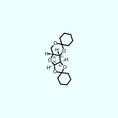 C1CCC2(CC1)OC[C@H]1O[C@@H]3OC4(CCCCC4)O[C@@H]3[C@H]1O2